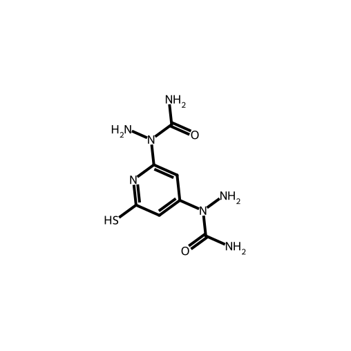 NC(=O)N(N)c1cc(S)nc(N(N)C(N)=O)c1